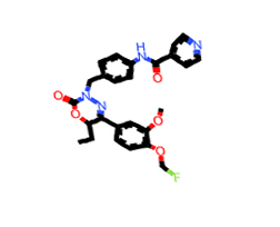 CCC1OC(=O)N(Cc2ccc(NC(=O)c3ccncc3)cc2)N=C1c1ccc(OCF)c(OC)c1